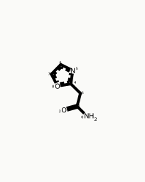 NC(=O)[CH]c1ncco1